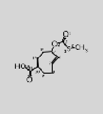 CSC(=O)OC1/C=C/CCC(C(=O)O)CC1